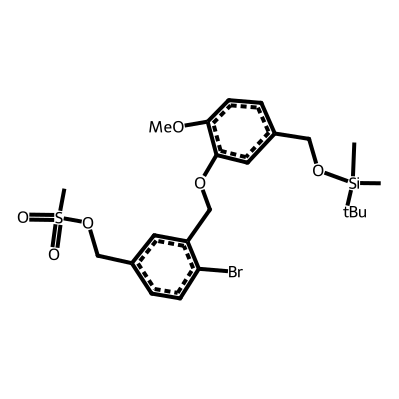 COc1ccc(CO[Si](C)(C)C(C)(C)C)cc1OCc1cc(COS(C)(=O)=O)ccc1Br